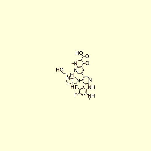 CNc1cc(F)c(F)c2c1[nH]c1ncc(-c3cnc4c(c3)c(=O)c(C(=O)O)cn4C)c(N3C[C@H]4CCN(CCO)[C@H]4C3)c12